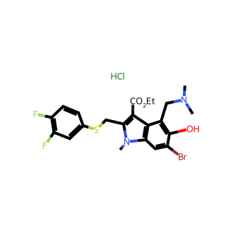 CCOC(=O)c1c(CSc2ccc(F)c(F)c2)n(C)c2cc(Br)c(O)c(CN(C)C)c12.Cl